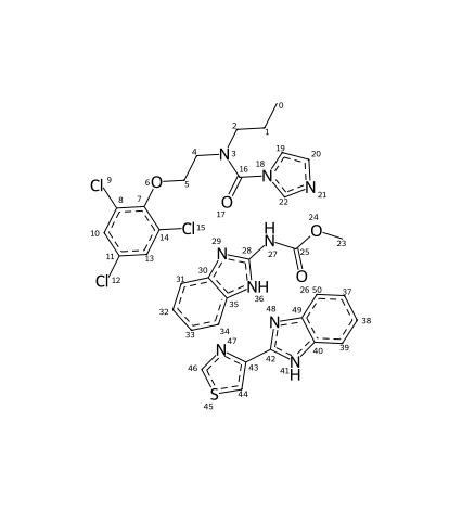 CCCN(CCOc1c(Cl)cc(Cl)cc1Cl)C(=O)n1ccnc1.COC(=O)Nc1nc2ccccc2[nH]1.c1ccc2[nH]c(-c3cscn3)nc2c1